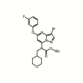 CC(C)(C)OC(=O)N(CC1CCOCC1)c1cc(Oc2cccc(F)c2)nc2c(Br)cnn12